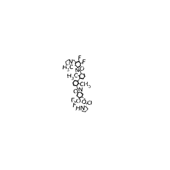 Cc1c(-c2nc3cc(COC(=O)[C@@H]4CCCN4)c(OC(F)F)cc3o2)cccc1-c1cccc(-c2nc3cc(CN4CCCC4C)c(F)c(F)c3o2)c1C